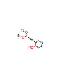 CCOC(C#Cc1cnccc1O)OCC